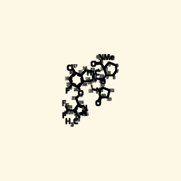 CNC(=O)[C@@]1(C)CCCC[C@H]1C(=O)N1CCc2c(Cl)cc(F)c(OCc3nnn(C)c3C(F)F)c2[C@H]1CN1CCCC1=O